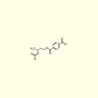 CC(CCOC(=O)c1ccc([N+](=O)[O-])cc1)O[N+](=O)[O-]